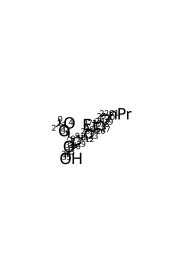 C=C(C)C(=O)OCCc1cc(-c2ccc(-c3ccc4cc(CCC)ccc4c3)c(CC)c2)ccc1OCCO